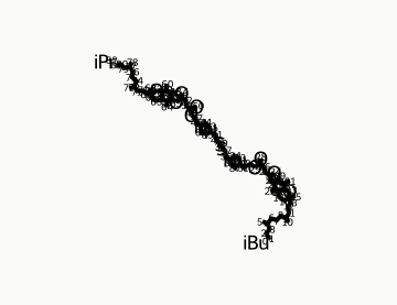 CCC(C)CCCC(C)CCCC(C)CCCC1(C)CCc2c(C)c(CC(=O)CCC(=O)OCCN3CCN(CCSSCCN4CCN(CCOC(=O)CCC(=O)Oc5c(C)c(C)c6c(c5C)CCC(C)(CCCC(C)CCCC(C)CCCC(C)C)O6)CC4)CC3)c(C)c(C)c2O1